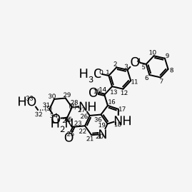 Cc1cc(Oc2ccccc2)ccc1C(=O)c1c[nH]c2ncc(C(N)=O)c(N[C@@H]3CC[C@@H](CO)OC3)c12